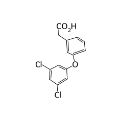 O=C(O)Cc1cccc(Oc2cc(Cl)cc(Cl)c2)c1